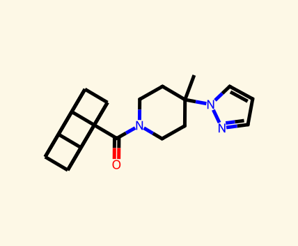 CC1(n2cccn2)CCN(C(=O)C23C4C5C6C4C2C6C53)CC1